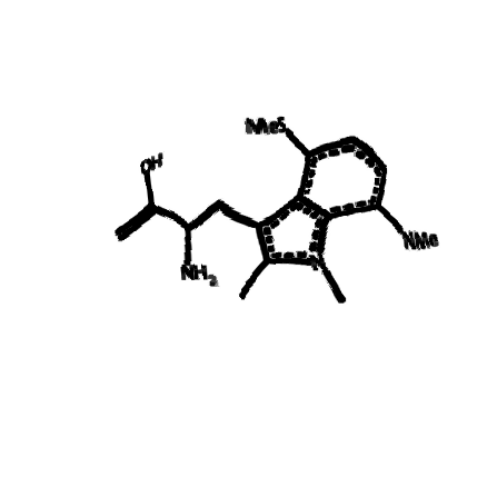 C=C(O)C(N)Cc1c(C)n(C)c2c(NC)ccc(SC)c12